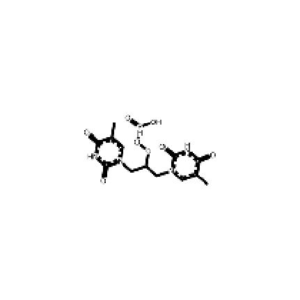 Cc1cn(CC(Cn2cc(C)c(=O)[nH]c2=O)OO[PH](=O)O)c(=O)[nH]c1=O